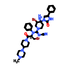 CN1CCN(C2CCN(C(=O)[C@H](CBr)N(C(=NC#N)N3CCC(N)(n4cc(-c5ccccc5)[nH]c4=O)C(Br)C3)c3ccccc3)CC2)CC1